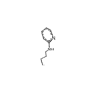 [CH2]CCCNc1ccccn1